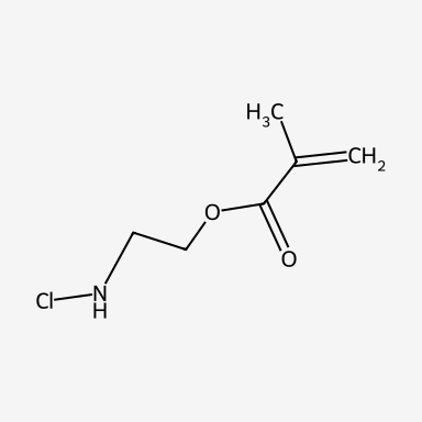 C=C(C)C(=O)OCCNCl